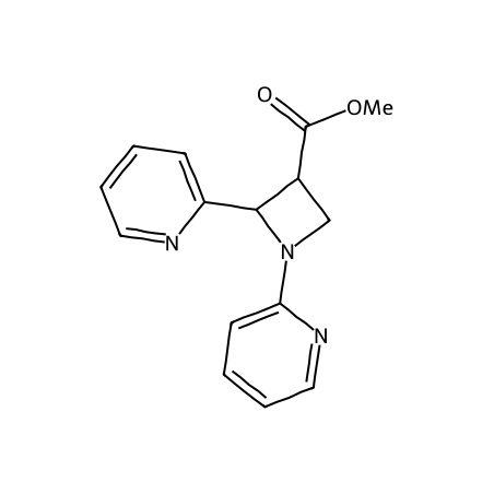 COC(=O)C1CN(c2ccccn2)C1c1ccccn1